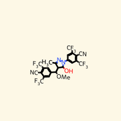 COC(c1cc(C(F)(F)F)c(C#N)c(C(F)(F)F)c1)C1C(C)=NN(c2cc(C(F)(F)F)c(C#N)c(C(F)(F)F)c2)C1O